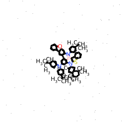 Cc1cc2c(cc1N1c3cc(N(c4ccc(C(C)(C)C)cc4)c4ccc(C(C)(C)C)cc4)cc4c3B(c3c1sc1ccccc31)N(c1ccc(C(C)(C)C)cc1)c1cc3oc5ccccc5c3cc1-4)C(C)(C)CCC2(C)C